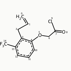 C=CCc1c(OCC(=O)Cl)cccc1C(F)(F)F